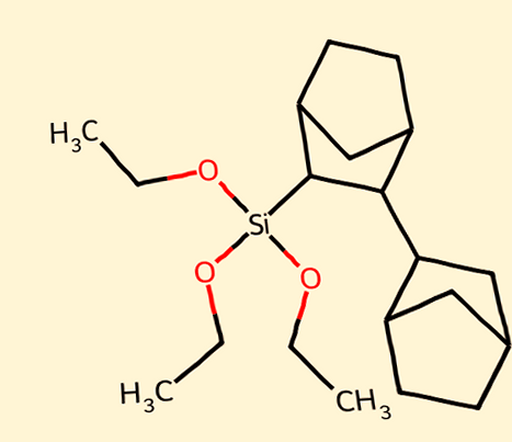 CCO[Si](OCC)(OCC)C1C2CCC(C2)C1C1CC2CCC1C2